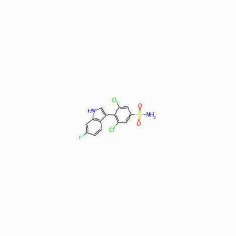 NS(=O)(=O)c1cc(Cl)c(-c2c[nH]c3cc(F)ccc23)c(Cl)c1